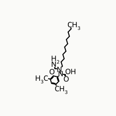 CCCCCCCCCCCCN(C(N)=O)N(C(=O)O)c1cc(C)cc(C)c1